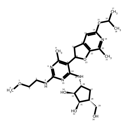 COCCNc1nc(C)c(C2Cc3cc(OC(C)C)nc(C)c3O2)c(N[C@@H]2C[C@H](CO)[C@@H](O)[C@H]2O)n1